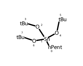 CCCC[CH2][Sn]([O]C(C)(C)C)([O]C(C)(C)C)[O]C(C)(C)C